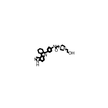 O=C(CN1CCN(CCO)CC1)Nc1ccc(-c2nc3ccc4[nH]ncc4c3c3c2CCCC3)cc1